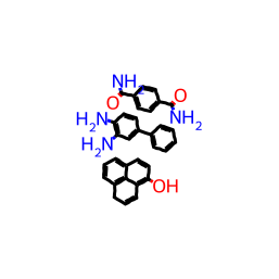 NC(=O)c1ccc(C(N)=O)cc1.Nc1ccc(-c2ccccc2)cc1N.Oc1ccc2cccc3c2c1C=CC3